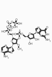 CO[C@@H]1[C@H](OP(O)(=S)OC[C@H]2O[C@@H](n3cnc4c(=O)[nH]c(N)nc43)[C@H](O)[C@@H]2O)[C@@H](COP(=O)(O)OP(=O)(O)OP(=O)(O)O)O[C@H]1n1cnc2c(N)ncnc21